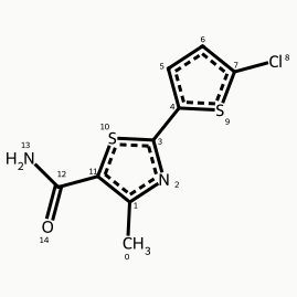 Cc1nc(-c2ccc(Cl)s2)sc1C(N)=O